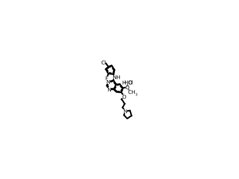 COc1cc2c(Nc3ccc(Cl)cc3F)ncnc2cc1OCCCN1CCCC1.Cl.O